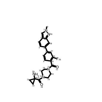 Cn1cc2ccc(-c3ccc(C(=O)N4CCN(C(=O)C5(N)CC5)CC4)c(F)c3)cc2n1